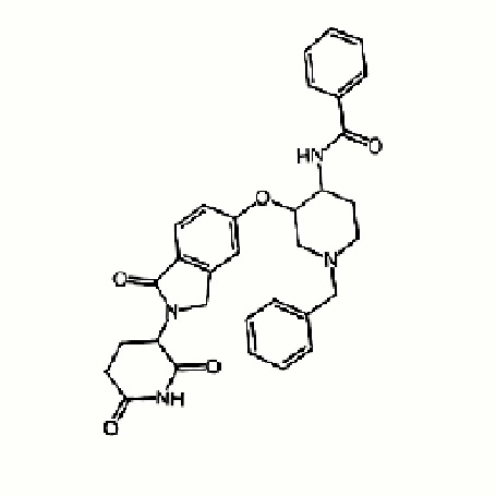 O=C1CCC(N2Cc3cc(OC4CN(Cc5ccccc5)CCC4NC(=O)c4ccccc4)ccc3C2=O)C(=O)N1